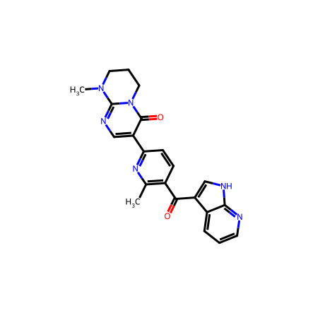 Cc1nc(-c2cnc3n(c2=O)CCCN3C)ccc1C(=O)c1c[nH]c2ncccc12